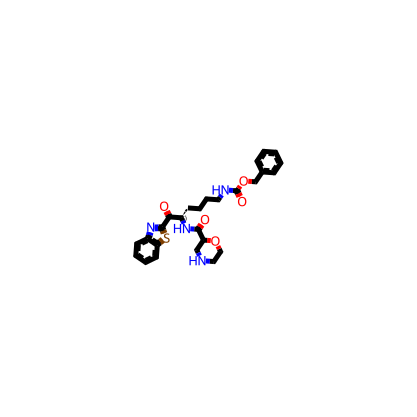 O=C(NCCCC[C@H](NC(=O)C1CNCCO1)C(=O)c1nc2ccccc2s1)OCc1ccccc1